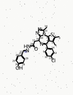 Cc1sc2c(c1C)C(c1ccc(Cl)cc1)=NC(CC(=O)N/N=C/c1ccc(O)cc1)c1nnc(C)n1-2